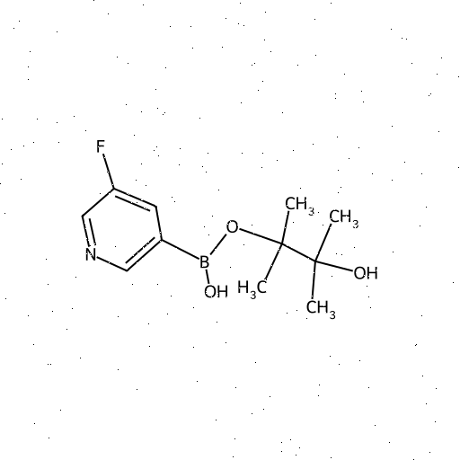 CC(C)(O)C(C)(C)OB(O)c1cncc(F)c1